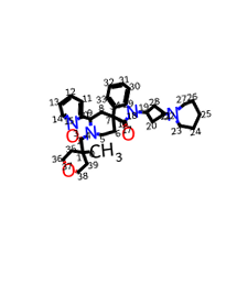 CC1(C(=O)N2CCC3(CC2c2ccccn2)C(=O)N(C2CC(N4CCCCC4)C2)c2ccccc23)CCOCC1